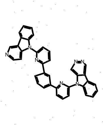 c1cc(-c2cccc(-n3c4ccccc4c4cnccc43)n2)cc(-c2cccc(-n3c4ccccc4c4cnncc43)n2)c1